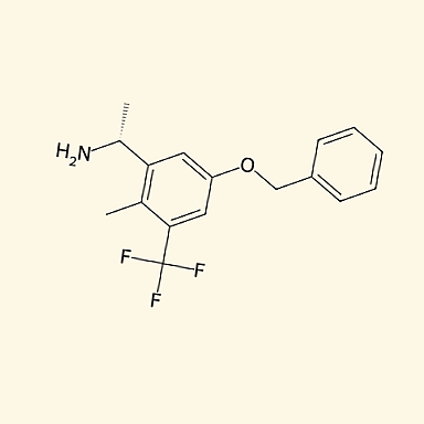 Cc1c([C@@H](C)N)cc(OCc2ccccc2)cc1C(F)(F)F